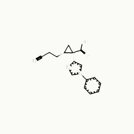 N#CCC[C@H]1C[C@]1(C(=O)O)c1cn(-c2ccccc2)cn1